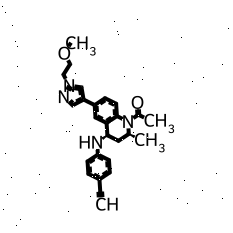 C#Cc1ccc(N[C@@H]2C[C@H](C)N(C(C)=O)c3ccc(-c4cnn(CCOC)c4)cc32)cc1